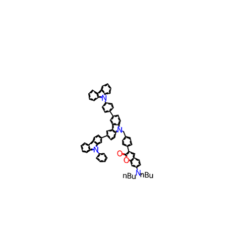 CCCCN(CCCC)c1ccc2cc(-c3ccc(Cn4c5ccc(-c6ccc(-n7c8ccccc8c8ccccc87)cc6)cc5c5cc(-c6ccc7c8ccccc8n(-c8ccccc8)c7c6)ccc54)cc3)c(=O)oc2c1